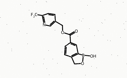 O=C(OCc1ccc(C(F)(F)F)nc1)c1ccc2c(c1)B(O)OC2